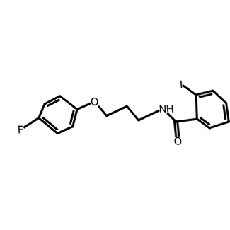 O=C(NCCCOc1ccc(F)cc1)c1ccccc1I